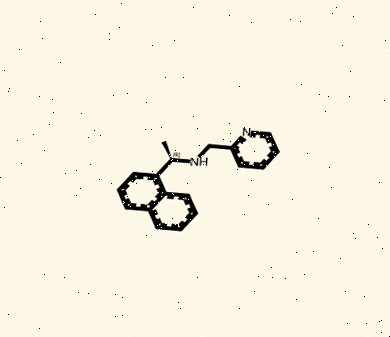 C[C@@H](NCc1ccccn1)c1cccc2ccccc12